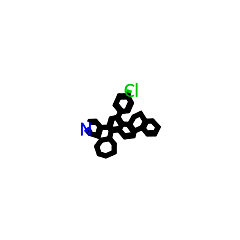 Clc1ccc(-c2cc(-c3ccncc3)c(C3CCCCCC3)c3ccc4c(c23)CCC2=C4C=CCC2)cc1